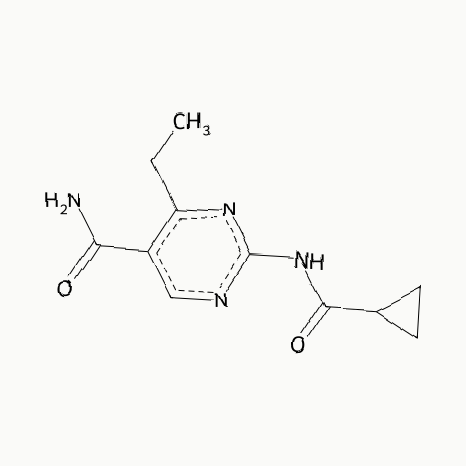 CCc1nc(NC(=O)C2CC2)ncc1C(N)=O